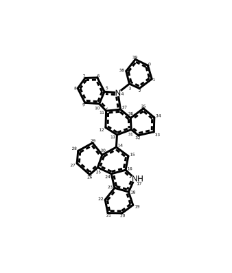 c1ccc(-n2c3ccccc3c3cc(-c4cc5[nH]c6ccccc6c5c5ccccc45)c4ccccc4c32)cc1